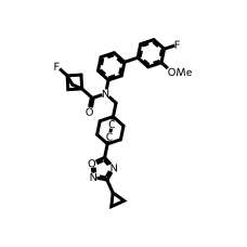 COc1cc(-c2cccc(N(CC34CCC(c5nc(C6CC6)no5)(CC3)CC4)C(=O)C34CC(F)(C3)C4)c2)ccc1F